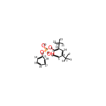 CC(C)(C)c1ccc(OP(=O)(O)Oc2ccccc2)c(C(C)(C)C)c1